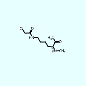 CN[C@@H](CCCCNC(=O)CCl)C(C)=O